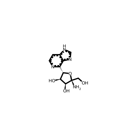 N[C@]1(CO)O[C@@H](c2nccc3[nH]cnc23)[C@H](O)[C@@H]1O